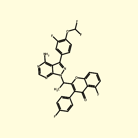 CC(c1oc2cccc(F)c2c(=O)c1-c1ccc(F)cc1)n1nc(-c2ccc(OC(F)F)c(F)c2)c2c(N)ncnc21